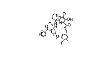 CO[C@H]1CC(C(=O)NC23CCC(CC2)Cn2c3nc(C(=O)NCc3ccc(F)c(C)c3)c(O)c2=O)N(C(=O)c2ccno2)C1